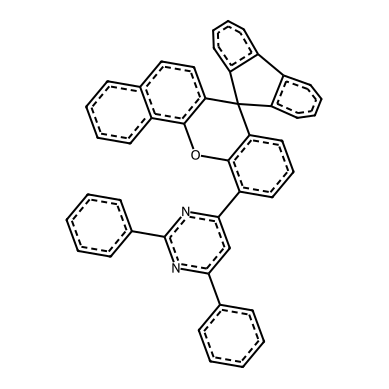 c1ccc(-c2cc(-c3cccc4c3Oc3c(ccc5ccccc35)C43c4ccccc4-c4ccccc43)nc(-c3ccccc3)n2)cc1